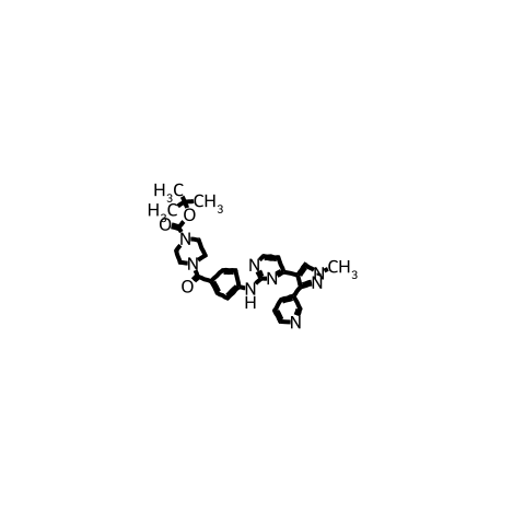 Cn1cc(-c2ccnc(Nc3ccc(C(=O)N4CCN(C(=O)OC(C)(C)C)CC4)cc3)n2)c(-c2cccnc2)n1